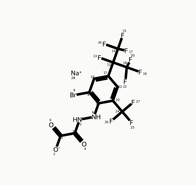 O=C([O-])C(=O)NNc1c(Br)cc(C(F)(C(F)(F)F)C(F)(F)F)cc1C(F)(F)F.[Na+]